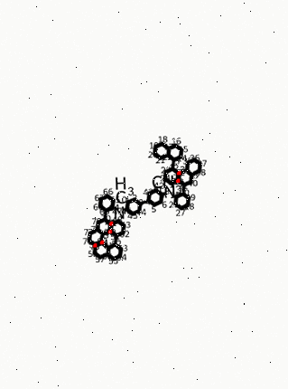 Cc1cc(-c2ccc(N(c3ccc(-c4cccc5ccccc45)cc3)c3ccccc3-c3ccc4ccccc4c3)c(C)c2)ccc1N(c1ccc(-c2cccc3ccccc23)cc1)c1ccccc1-c1ccc2ccccc2c1